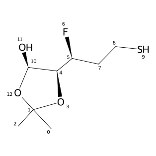 CC1(C)O[C@H]([C@@H](F)CCS)[C@H](O)O1